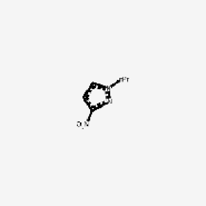 CCCn1ccc([N+](=O)[O-])n1